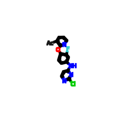 CC(=O)c1cccnc1Oc1ccc(Nc2ccnc(Cl)n2)cc1F